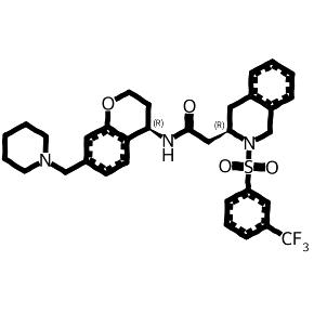 O=C(C[C@H]1Cc2ccccc2CN1S(=O)(=O)c1cccc(C(F)(F)F)c1)N[C@@H]1CCOc2cc(CN3CCCCC3)ccc21